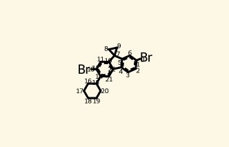 Brc1ccc2c(c1)C1(CC1)c1cc(Br)c(C3CCCCC3)cc1-2